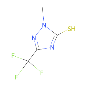 Cn1nc(C(F)(F)F)nc1S